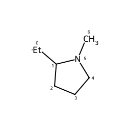 C[CH]C1CCCN1C